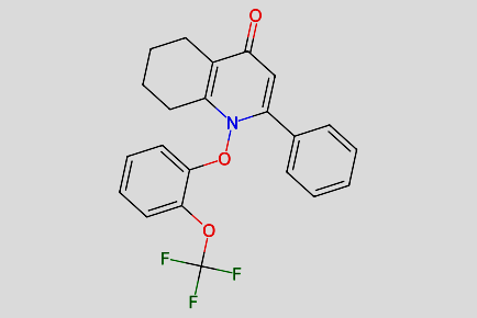 O=c1cc(-c2ccccc2)n(Oc2ccccc2OC(F)(F)F)c2c1CCCC2